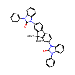 CCCCCCCCC1(CCCCCCCC)c2cc(-n3c(=O)n(-c4ccccc4)c4ccccc43)ccc2-c2ccc(-n3c(=O)n(-c4ccccc4)c4ccccc43)cc21